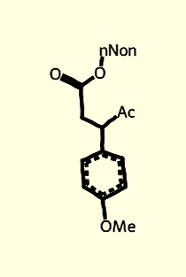 CCCCCCCCCOC(=O)CC(C(C)=O)c1ccc(OC)cc1